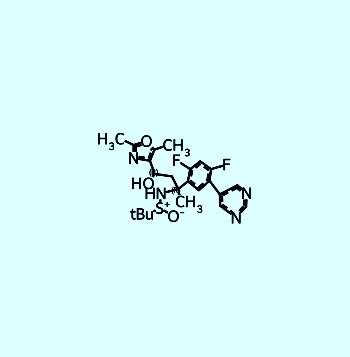 Cc1nc([C@H](O)C[C@@](C)(N[S+]([O-])C(C)(C)C)c2cc(-c3cncnc3)c(F)cc2F)c(C)o1